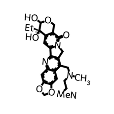 CC[C@]1(O)c2cc3n(c(=O)c2COC1O)Cc1c-3nc2cc3c(cc2c1CN(C)CCNC)OCO3